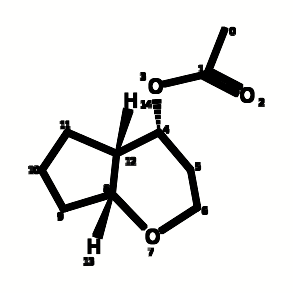 CC(=O)O[C@@H]1CCO[C@@H]2CCC[C@@H]21